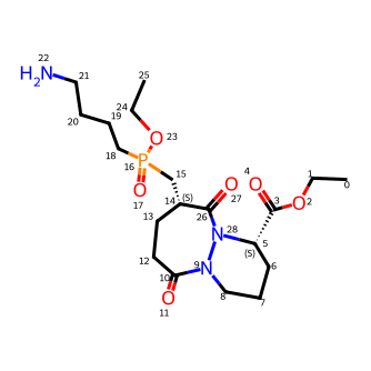 CCOC(=O)[C@@H]1CCCN2C(=O)CC[C@H](CP(=O)(CCCCN)OCC)C(=O)N12